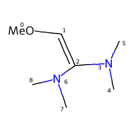 COC=C(N(C)C)N(C)C